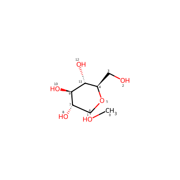 CO.OC[C@H]1O[CH][C@H](O)[C@@H](O)[C@@H]1O